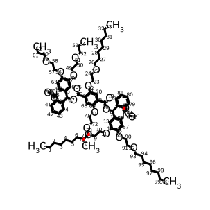 CCCCCCCCOCCOc1cc(C(OC(=O)c2cc(OCCOCCCCCCCC)c(C(=O)OC(c3ccccc3)c3cc(OCCOCCC)c(OCCOCCC)cc3[N+](=O)[O-])cc2OCCOCCC)c2ccccc2)c([N+](=O)[O-])cc1OCCOCCCCCCCC